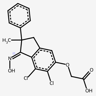 CC1(c2ccccc2)Cc2cc(OCC(=O)O)c(Cl)c(Cl)c2/C1=N\O